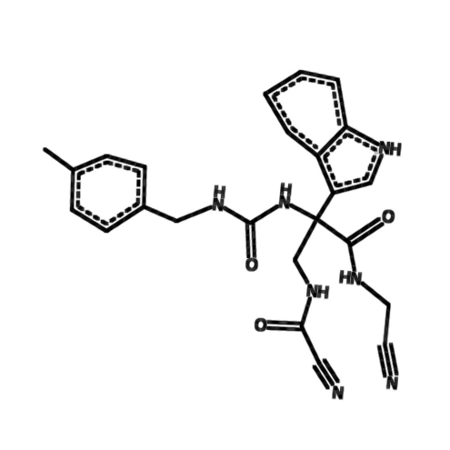 Cc1ccc(CNC(=O)NC(CNC(=O)C#N)(C(=O)NCC#N)c2c[nH]c3ccccc23)cc1